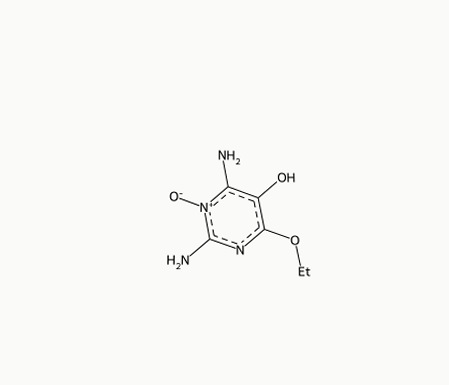 CCOc1nc(N)[n+]([O-])c(N)c1O